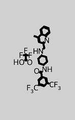 Cc1cc(CN[C@H]2CC[C@@H](NC(=O)c3cc(C(F)(F)F)cc(C(F)(F)F)c3)CC2)nc2ccccc12.O=C(O)C(F)(F)F